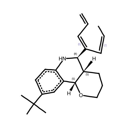 C=C/C=C(\C=C/C)[C@@H]1Nc2ccc(C(C)(C)C)cc2[C@H]2OCCC[C@H]21